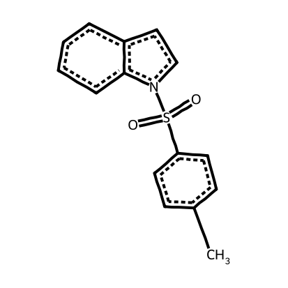 Cc1ccc(S(=O)(=O)n2ccc3ccccc32)cc1